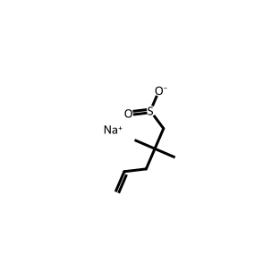 C=CCC(C)(C)CS(=O)[O-].[Na+]